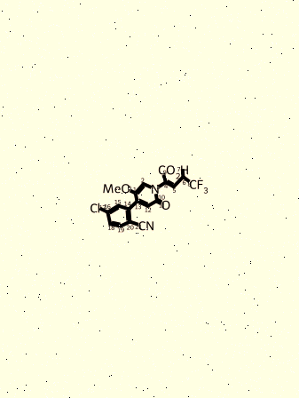 COc1cn(C(=CC(C)C(F)(F)F)C(=O)O)c(=O)cc1-c1cc(Cl)ccc1C#N